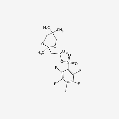 CC1(C)COC(C)(CC(OS(=O)(=O)c2c(F)c(F)c(F)c(F)c2F)C(F)(F)F)OC1